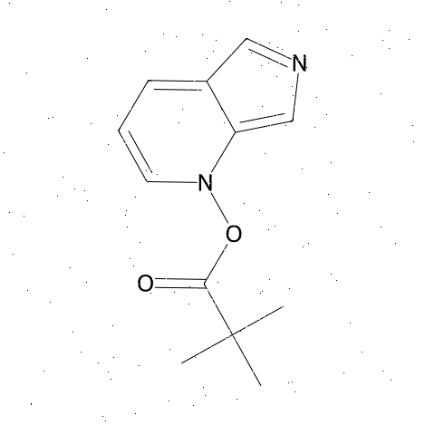 CC(C)(C)C(=O)On1cccc2cncc1-2